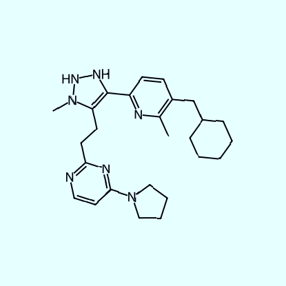 Cc1nc(C2=C(CCc3nccc(N4CCCC4)n3)N(C)NN2)ccc1CC1CCCCC1